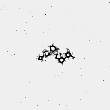 O=C(Cc1cccc(-c2cc(F)cc(F)c2)c1F)N[C@@H]1[C@@H](N2CCN(C3CCC3)CC2)CCCC1(F)F